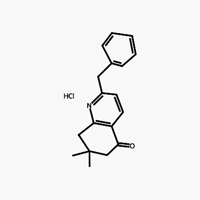 CC1(C)CC(=O)c2ccc(Cc3ccccc3)nc2C1.Cl